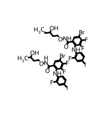 CC(O)CCONC(=O)c1cc(Br)c(F)c(F)c1Nc1ccc(I)cc1F.CCC(O)CCONC(=O)c1cc(Br)c(F)c(F)c1Nc1ccc(I)cc1F